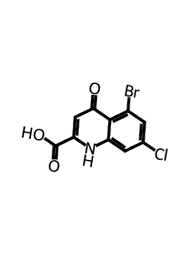 O=C(O)c1cc(=O)c2c(Br)cc(Cl)cc2[nH]1